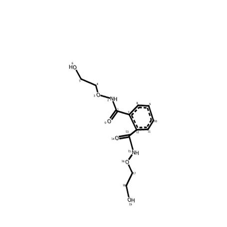 O=C(NOCCO)c1ccccc1C(=O)NOCCO